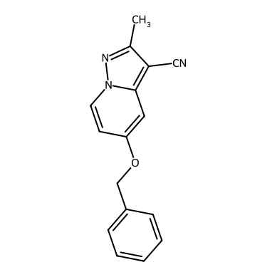 Cc1nn2ccc(OCc3ccccc3)cc2c1C#N